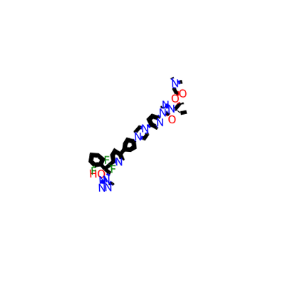 CC[C@@H]([C@H](C)OC(=O)CN(C)C)n1ncn(-c2ccc(N3CCN(c4ccc(-c5ccc(C(F)(F)C(O)(Cn6cnnn6)c6ccccc6F)nc5)cc4)CC3)cn2)c1=O